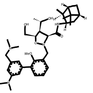 COc1c(CN2O[C@@H](CO)[C@@H]([C@H](C)O)[C@H]2C(=O)N[C@H]2C[C@H]3C[C@@H]([C@@H]2C)C3(C)C)cccc1-c1cc(CN(C)C)cc(N(C)C)c1